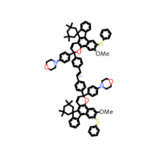 COc1cc2c3c(c4c(c2cc1Sc1ccccc1)-c1ccccc1C41CC(C)(C)CC(C)(C)C1)C=CC(c1ccc(/C=C/c2ccc(C4(c5ccc(N6CCOCC6)cc5)C=Cc5c6c(c7cc(Sc8ccccc8)c(OC)cc7c5O4)-c4ccccc4C64CC(C)(C)CC(C)(C)C4)cc2)cc1)(c1ccc(N2CCOCC2)cc1)O3